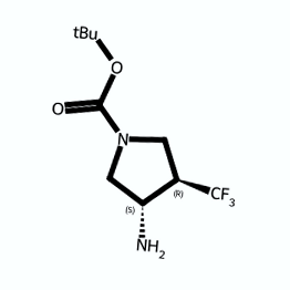 CC(C)(C)OC(=O)N1C[C@@H](N)[C@H](C(F)(F)F)C1